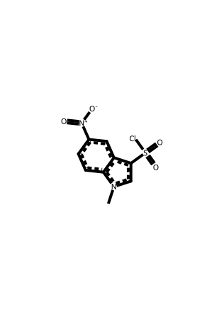 Cn1cc(S(=O)(=O)Cl)c2cc([N+](=O)[O-])ccc21